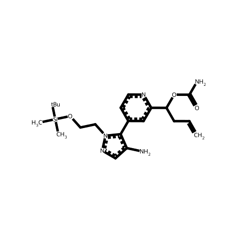 C=CCC(OC(N)=O)c1cc(-c2c(N)cnn2CCO[Si](C)(C)C(C)(C)C)ccn1